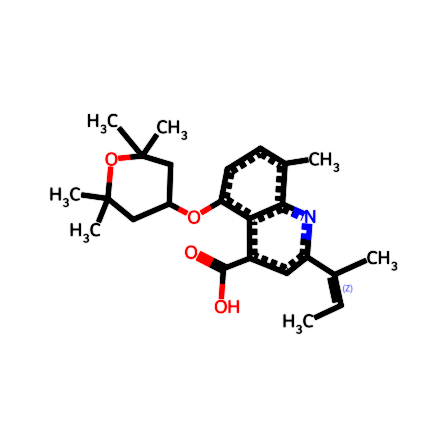 C/C=C(/C)c1cc(C(=O)O)c2c(OC3CC(C)(C)OC(C)(C)C3)ccc(C)c2n1